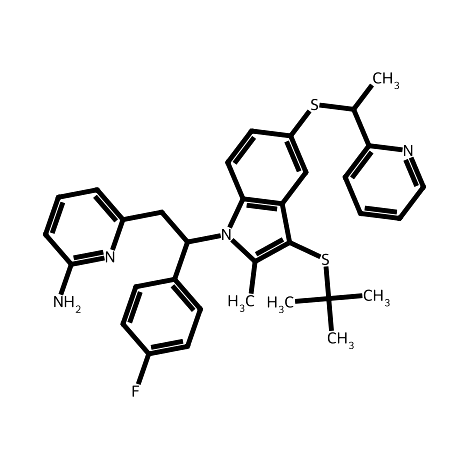 Cc1c(SC(C)(C)C)c2cc(SC(C)c3ccccn3)ccc2n1C(Cc1cccc(N)n1)c1ccc(F)cc1